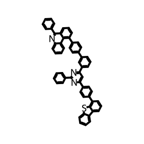 c1ccc(-c2nc(-c3ccc(-c4cccc5c4sc4ccccc45)cc3)cc(-c3cccc(-c4ccc(-c5cccc6c(-c7ccccc7)nc7ccccc7c56)cc4)c3)n2)cc1